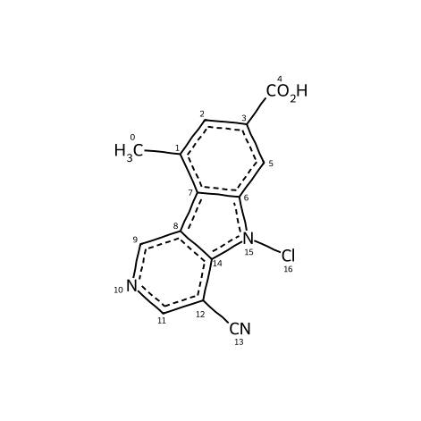 Cc1cc(C(=O)O)cc2c1c1cncc(C#N)c1n2Cl